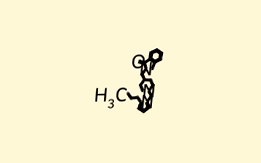 CCCCc1cccn1CN1CCC(CN2Cc3ccccc3C2=O)CC1